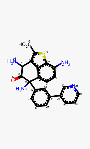 Nc1ccc2c3c(c(C(=O)O)sc13)C(N)C(=O)C2(N)c1cccc(-c2cccnc2)c1